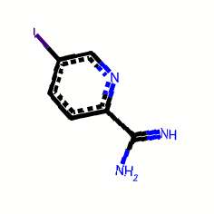 N=C(N)c1ccc(I)cn1